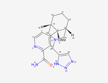 CO[C@]1(c2ccnc(C(N)=O)c2)[C@@H]2CCC[C@H]1CN(Cc1cnn[nH]1)C2